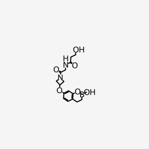 O=C(CCO)NCC(=O)N1CC(Oc2ccc3c(c2)OB(O)CC3)C1